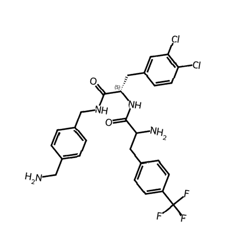 NCc1ccc(CNC(=O)[C@H](Cc2ccc(Cl)c(Cl)c2)NC(=O)C(N)Cc2ccc(C(F)(F)F)cc2)cc1